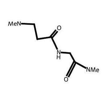 CNCCC(=O)NCC(=O)NC